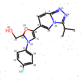 CC(C)c1nnc2ccc(C3=CN(c4ccc(F)cc4)C(CO)O3)cn12